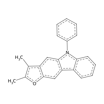 Cc1oc2cc3c4ccccc4n(-c4ccccc4)c3cc2c1C